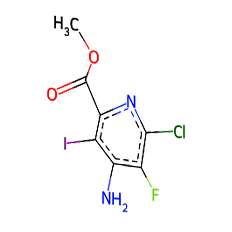 COC(=O)c1nc(Cl)c(F)c(N)c1I